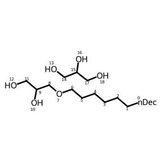 CCCCCCCCCCCCCCCCOCC(O)CO.OCC(O)CO